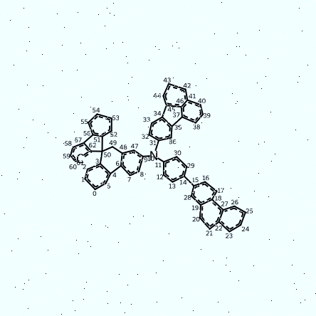 c1ccc2c(c1)-c1ccc(N(c3ccc(-c4ccc5c(ccc6ccccc65)c4)cc3)c3ccc4c(c3)-c3cccc5cccc-4c35)cc1CC21c2ccccc2-c2ccccc21